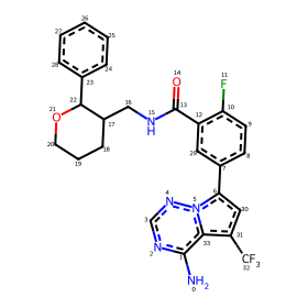 Nc1ncnn2c(-c3ccc(F)c(C(=O)NCC4CCCOC4c4ccccc4)c3)cc(C(F)(F)F)c12